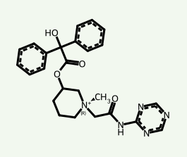 C[N@@+]1(CC(=O)Nc2ncncn2)CCCC(OC(=O)C(O)(c2ccccc2)c2ccccc2)C1